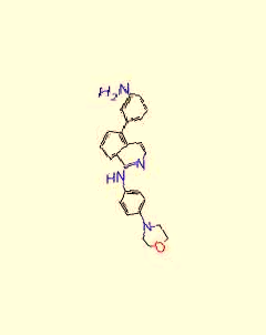 Nc1cccc(-c2cccc3c(Nc4ccc(N5CCOCC5)cc4)nccc23)c1